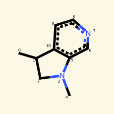 CC1CN(C)c2cnccc21